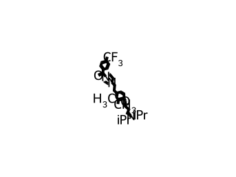 Cc1c(CCN2CCN(C(=O)c3ccc(C(F)(F)F)cc3)CC2)ccc(OCCCN(C(C)C)C(C)C)c1C